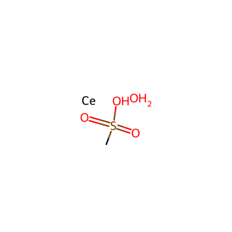 CS(=O)(=O)O.O.[Ce]